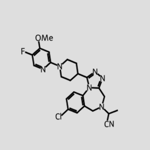 COc1cc(N2CCC(c3nnc4n3-c3ccc(Cl)cc3CN(C(C)C#N)C4)CC2)ncc1F